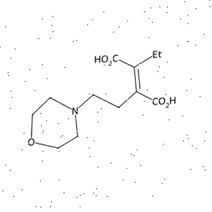 CCC(C(=O)O)=C(CCN1CCOCC1)C(=O)O